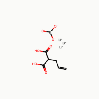 C=CCC(C(=O)O)C(=O)O.[Li+].[Li+].[Li+].[O-]B([O-])[O-]